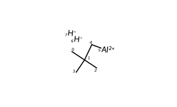 CC(C)(C)[CH2][Al+2].[H-].[H-]